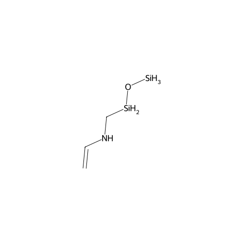 C=CNC[SiH2]O[SiH3]